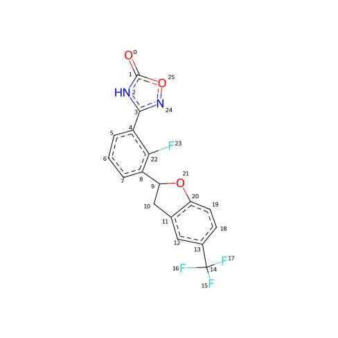 O=c1[nH]c(-c2cccc(C3Cc4cc(C(F)(F)F)ccc4O3)c2F)no1